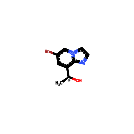 C[C@H](O)c1cc(Br)cn2ccnc12